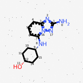 Nc1nc2cccc(N[C@H]3CC[C@@H](O)CC3)n2n1